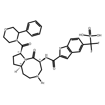 CC(=O)N1CC[C@H]2CC[C@@H](C(=O)N3CCOCC3c3ccccc3)N2C(=O)[C@@H](NC(=O)c2cc3cc(C(F)(F)P(=O)(O)O)ccc3s2)C1